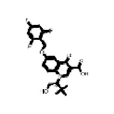 CC(C)(C)[C@@H](CO)n1cc(C(=O)O)c(=O)c2cc(OCc3c(F)cc(F)cc3F)ccc21